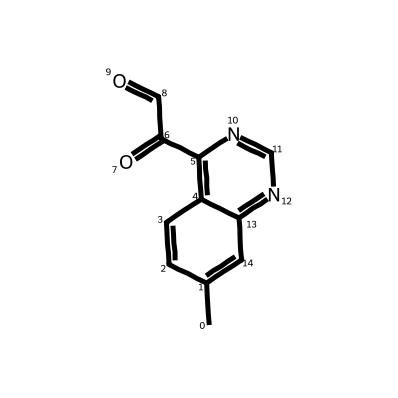 Cc1ccc2c(C(=O)C=O)ncnc2c1